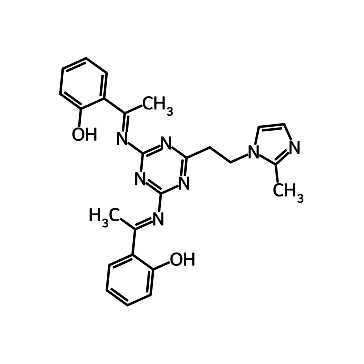 C/C(=N\c1nc(CCn2ccnc2C)nc(/N=C(\C)c2ccccc2O)n1)c1ccccc1O